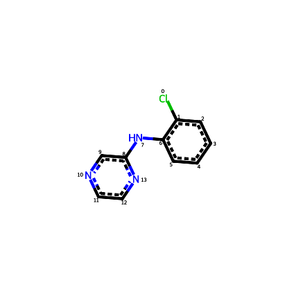 Clc1ccccc1Nc1cnccn1